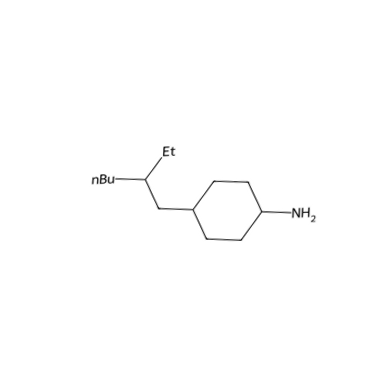 CCCCC(CC)CC1CCC(N)CC1